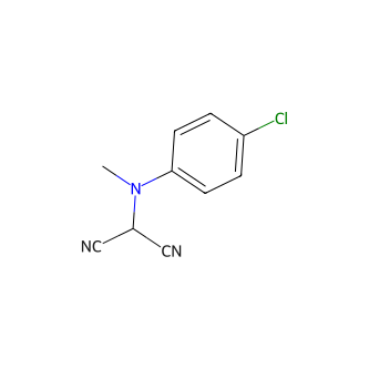 CN(c1ccc(Cl)cc1)C(C#N)C#N